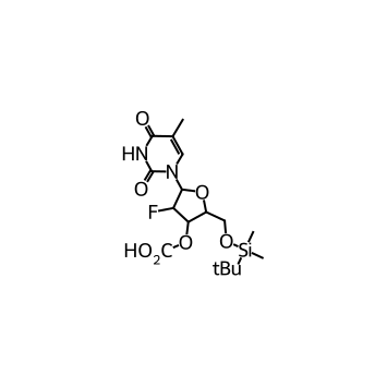 Cc1cn(C2OC(CO[Si](C)(C)C(C)(C)C)C(OC(=O)O)C2F)c(=O)[nH]c1=O